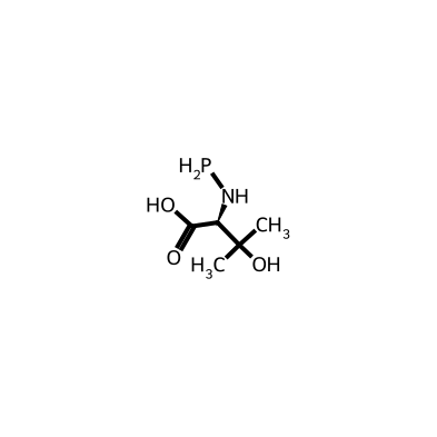 CC(C)(O)[C@H](NP)C(=O)O